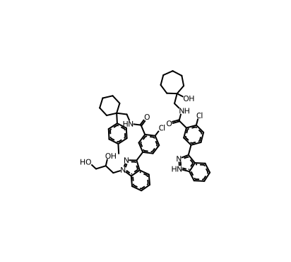 Cc1ccc(C2(CNC(=O)c3cc(-c4nn(CC(O)CO)c5ccccc45)ccc3Cl)CCCCC2)cc1.O=C(NCC1(O)CCCCCC1)c1cc(-c2n[nH]c3ccccc23)ccc1Cl